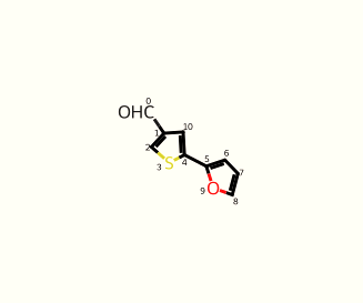 O=Cc1csc(-c2ccco2)c1